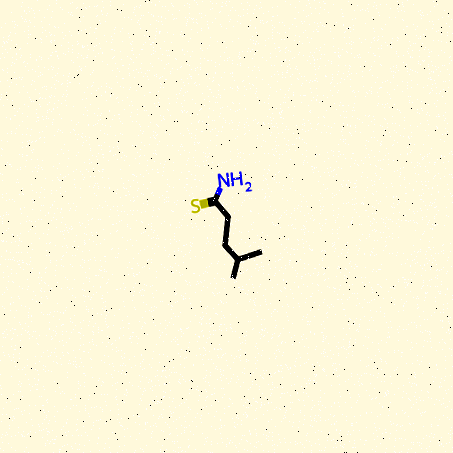 CC(C)CCC(N)=S